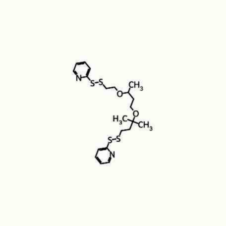 CC(CCOC(C)(C)CCSSc1ccccn1)OCCSSc1ccccn1